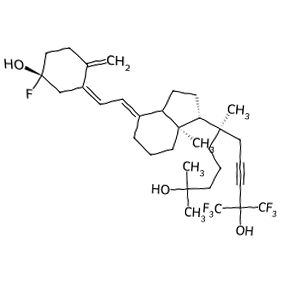 C=C1CC[C@@](O)(F)C/C1=C/C=C1CCC[C@@]2(C)C1CC[C@@H]2[C@@](C)(CC#CC(O)(C(F)(F)F)C(F)(F)F)CCCC(C)(C)O